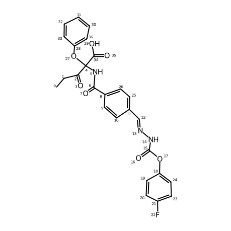 CCC(=O)C(NC(=O)c1ccc(/C=N/NC(=O)Oc2ccc(F)cc2)cc1)(Oc1ccccc1)C(=O)O